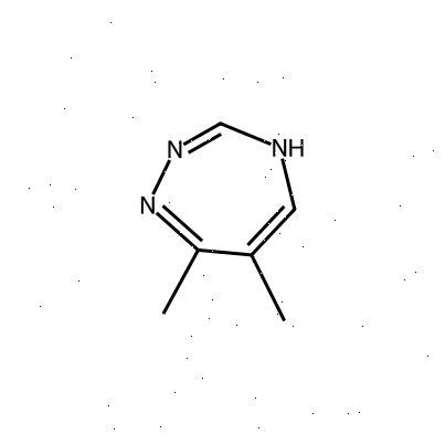 CC1=CNC=NN=C1C